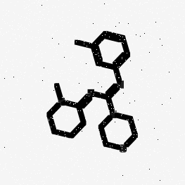 Cc1cccc(N=C(N=C2CCCCN2C)N2CCOCC2)c1